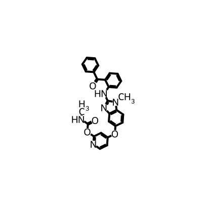 CNC(=O)Oc1cc(Oc2ccc3c(c2)nc(Nc2ccccc2C(=O)c2ccccc2)n3C)ccn1